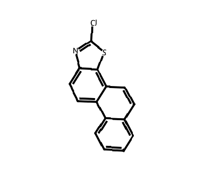 Clc1nc2ccc3c4ccccc4ccc3c2s1